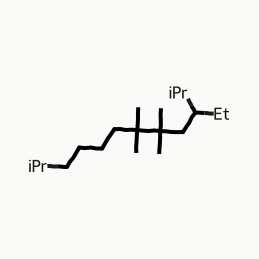 CCC(CC(C)(C)C(C)(C)CCCCC(C)C)C(C)C